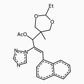 CCC1OCC(C)(C(OC(C)=O)C(=Cc2cccc3ccccc23)n2cncn2)CO1